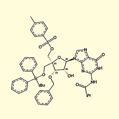 Cc1ccc(S(=O)(=O)OC[C@]2(CO[Si](c3ccccc3)(c3ccccc3)C(C)(C)C)O[C@@H](n3cnc4c(=O)[nH]c(NC(=O)C(C)C)nc43)[C@H](O)[C@@H]2OCc2ccccc2)cc1